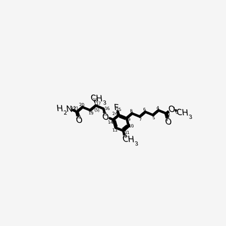 COC(=O)CCCCCc1cc(C)cc(OC[C@@H](C)CCC(N)=O)c1F